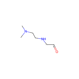 CN(C)CCN[CH]C=O